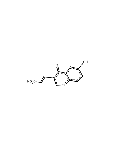 O=C(O)C=Cn1cnc2ccc(O)cc2c1=O